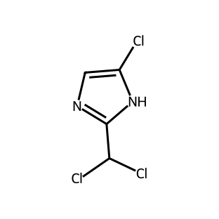 Clc1cnc(C(Cl)Cl)[nH]1